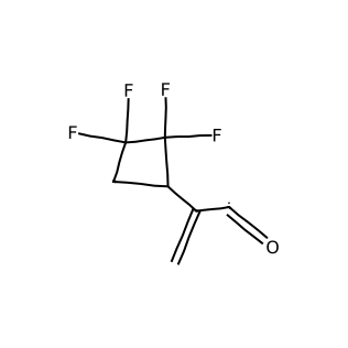 C=C([C]=O)C1CC(F)(F)C1(F)F